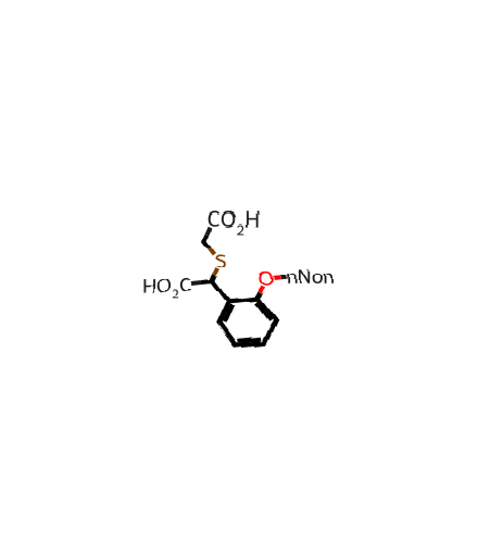 CCCCCCCCCOc1ccccc1C(SCC(=O)O)C(=O)O